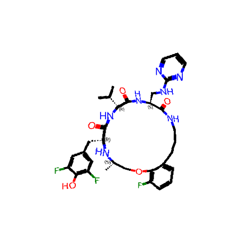 CC(C)[C@H]1NC(=O)[C@@H](Cc2cc(F)c(O)c(F)c2)N[C@@H](C)COc2c(F)cccc2CCCNC(=O)[C@H](CNc2ncccn2)NC1=O